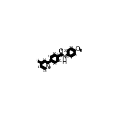 COc1ccc(NC(=O)c2ccc(-c3cc(C)ccn3)cc2)cc1